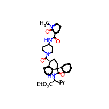 CCOC(=O)[C@@H](NC(=O)[C@@]1(c2ccccc2)CC[C@H](C(=O)N2CCC(NC(=O)c3cccn(C)c3=O)CC2)c2ccccc21)C(C)C